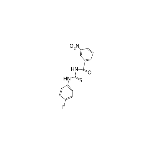 O=C(NC(=S)Nc1ccc(F)cc1)c1cccc([N+](=O)[O-])c1